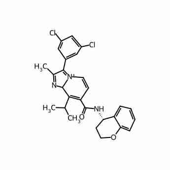 CC1=NC2C(C(C)C)=C(C(=O)N[C@H]3CCOc4ccccc43)C=C[N+]2=C1c1cc(Cl)cc(Cl)c1